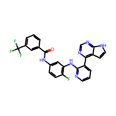 O=C(Nc1ccc(F)c(Nc2ncccc2-c2ncnc3[nH]ccc23)c1)c1cccc(C(F)(F)F)c1